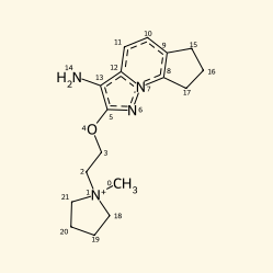 C[N+]1(CCOc2nn3c4c(ccc3c2N)CCC4)CCCC1